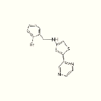 CCc1ccccc1CNc1csc(-c2cnccn2)c1